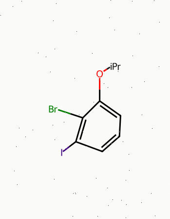 CC(C)Oc1cccc(I)c1Br